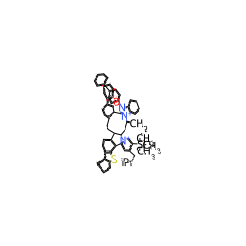 C=C1CC2C(CCc3ccc4c(oc5ccccc54)c3-c3n(-c4ccc(-c5ccccc5)cc4)c4ccccc4[n+]31)c1ccc3c(sc4ccccc43)c1-c1cc(CC(C)C)c([Si](C)(C)C)c[n+]12